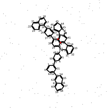 c1cc(-c2ccc(N(c3ccc(-c4ccc(-c5cccc6ccccc56)cc4)cc3)c3ccccc3-c3ccc4c(c3)sc3ccccc34)cc2)cc(-c2ccc3ccccc3c2)c1